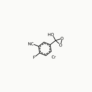 N#Cc1cc(C2(O)OO2)ccc1F.[Cr]